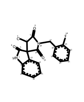 O=C1C(Cl)C2(C(=O)Nc3ccccc32)C(=O)N1Cc1ccccc1F